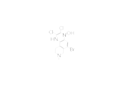 CN1CCc2c(c(Br)cc3c2NC(Cl)=C(Cl)N3O)C1